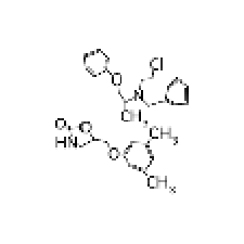 CC(COc1ccccc1)N(CCCl)Cc1ccccc1.Cc1cc(C)cc(OCC2CNC(=O)O2)c1